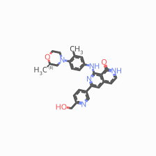 Cc1cc(Nc2nc(-c3ccc(CO)nc3)cc3cc[nH]c(=O)c23)ccc1N1CCO[C@H](C)C1